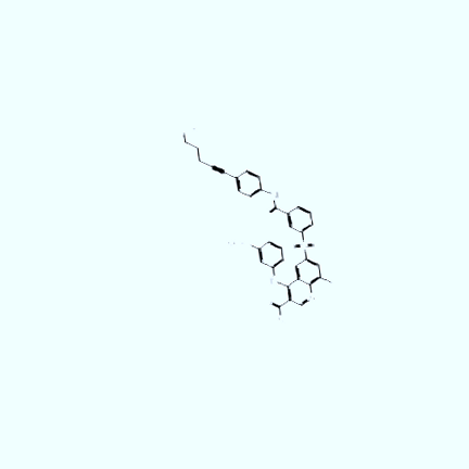 COc1cccc(Nc2c(C(N)=O)cnc3c(C)cc(S(=O)(=O)c4cccc(C(=O)Nc5ccc(C#CCCCC=O)cc5)c4)cc23)c1